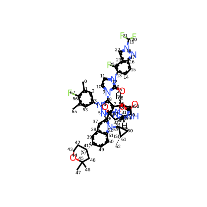 Cc1cc(-n2nc3c(c2-n2ccn(-c4ccc5nn(C(F)F)cc5c4F)c2=O)[C@@H]2CC[C@H](C3)N2C(=O)c2cc3cc([C@H]4CCOC(C)(C)C4)ccc3n2[C@@]2(c3noc(=O)[nH]3)C[C@@H]2C)cc(C)c1F